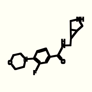 O=C(NCC1C2CNCC21)c1ccc(N2CCOCC2)c(F)c1